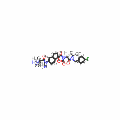 C[C@H](N(Cc1ccc(F)cc1)C(=O)CN1C(=O)OC2(CCc3cc(NC(=O)C(C)(C)NC(=O)O)ccc32)C1=O)C(F)(F)F